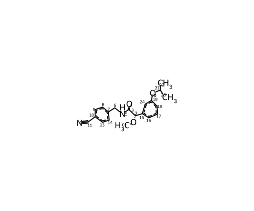 CO[C@H](C(=O)NCc1ccc(C#N)cc1)c1cccc(OC(C)C)c1